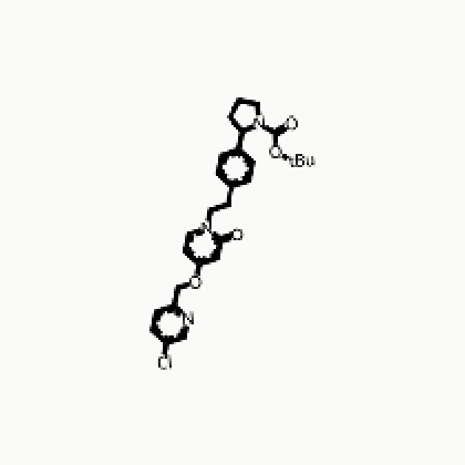 CC(C)(C)OC(=O)N1CCCC1c1ccc(CCn2ccc(OCc3ccc(Cl)cn3)cc2=O)cc1